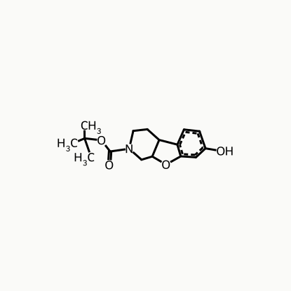 CC(C)(C)OC(=O)N1CCC2c3ccc(O)cc3OC2C1